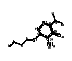 CCCCSc1nnc(C(C)C)c(=O)n1N